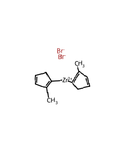 CC1=[C]([Zr+2][C]2=C(C)C=CC2)CC=C1.[Br-].[Br-]